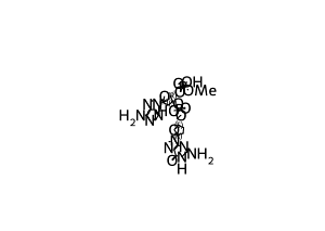 COP(=O)(O)OC[C@H]1O[C@@H](n2cnc3c(N)ncnc32)C[C@@H]1OP(=O)(O)OC[C@@H]1CC[C@H](n2cnc3c(=O)[nH]c(N)nc32)O1